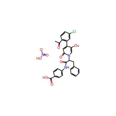 COc1cn(C(Cc2ccccc2)C(=O)Nc2ccc(C(=O)O)cc2)c(=O)cc1-c1cc(Cl)ccc1C(C)=O.O=[N+]([O-])O